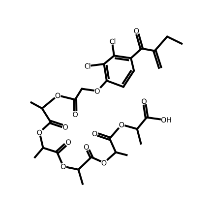 C=C(CC)C(=O)c1ccc(OCC(=O)OC(C)C(=O)OC(C)C(=O)OC(C)C(=O)OC(C)C(=O)OC(C)C(=O)O)c(Cl)c1Cl